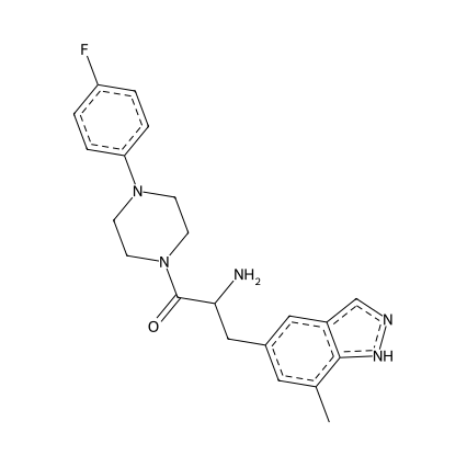 Cc1cc(CC(N)C(=O)N2CCN(c3ccc(F)cc3)CC2)cc2cn[nH]c12